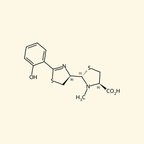 CN1[C@H](C(=O)O)CS[C@H]1[C@H]1CSC(c2ccccc2O)=N1